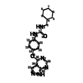 O=C(NCC1CCCCC1)Nc1ccc(Oc2ncnc3[nH]ncc23)cc1